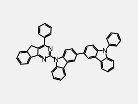 c1ccc(-c2nc(-n3c4ccccc4c4cc(-c5ccc6c(c5)c5ccccc5n6-c5ccccc5)ccc43)nc3c2Cc2ccccc2-3)cc1